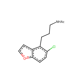 CC(=O)NCCCc1c(Cl)ccc2occc12